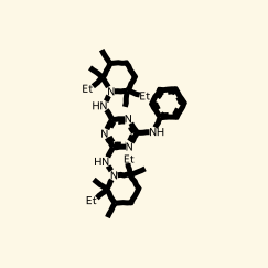 CCC1(C)CCC(C)C(C)(CC)N1Nc1nc(Nc2ccccc2)nc(NN2C(C)(CC)CCC(C)C2(C)CC)n1